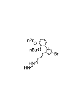 CCCCOc1c(OCCC)cccc1-n1cc(Br)cc1/C=C/C=N/NC=N